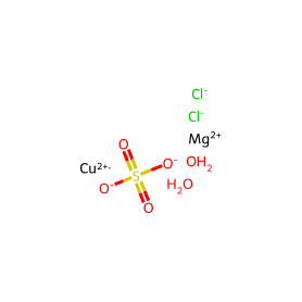 O.O.O=S(=O)([O-])[O-].[Cl-].[Cl-].[Cu+2].[Mg+2]